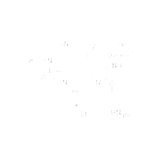 CCc1ccc(N2CC3(C2)C(=O)N(C)c2cnc4cc(F)c(-c5cnc(OCCNC(C)C)c(NS(C)(=O)=O)c5)cc4c23)cc1